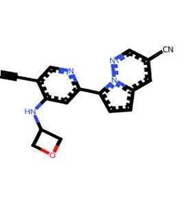 C#Cc1cnc(-c2ccc3cc(C#N)cnn23)cc1NC1COC1